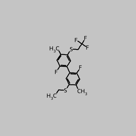 CCSc1cc(-c2cc(SCC(F)(F)F)c(C)cc2F)c(F)cc1C